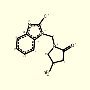 CCCC1CC(=O)N(Cn2c(Cl)nc3ccccc32)C1